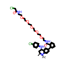 CC(=O)N1c2ccc(-c3ccccc3C(=O)NCCOCCOCCOCCOCCOCCNC(=O)CCl)cc2[C@H](Nc2ccc(Cl)cc2)C[C@@H]1C